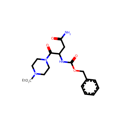 CCOC(=O)N1CCN(C(=O)C(CC(N)=O)NC(=O)OCc2ccccc2)CC1